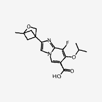 CC(C)Oc1c(C(=O)O)cn2cc(C34COC(C)(C3)C4)nc2c1F